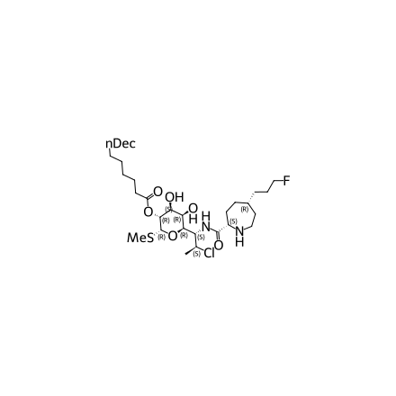 CCCCCCCCCCCCCCCC(=O)O[C@@H]1[C@@H](O)[C@@H](O)[C@@H]([C@H](NC(=O)[C@@H]2CC[C@H](CCCF)CCN2)[C@H](C)Cl)O[C@@H]1SC